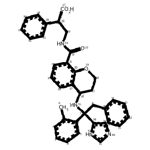 Cc1ccccc1C(Cc1ccccc1)(NC1CCOc2c(C(=O)NCC(C(=O)O)c3ccccc3)cccc21)c1cnc[nH]1